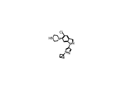 Clc1cc2cnn(-c3cnn(C45CC(C4)C5)c3)c2cc1N1CCNCC1